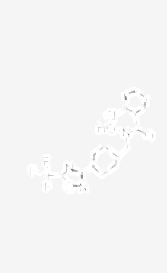 O=C(c1ccccc1Cl)N(O)Cc1ccc(-c2noc(C(F)(F)F)n2)cc1